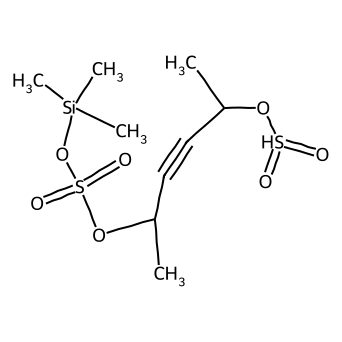 CC(C#CC(C)OS(=O)(=O)O[Si](C)(C)C)O[SH](=O)=O